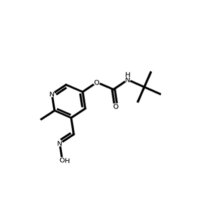 Cc1ncc(OC(=O)NC(C)(C)C)cc1C=NO